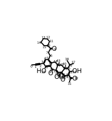 CC#Cc1cc(CCC(=O)C2CCCCC2)c2c(c1O)C(=O)C1=C(O)[C@@]3(O)C(=O)C(C(C)=O)=C(O)C(C(C)C)[C@@]3(C)C[C@@]1(C)C2